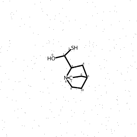 OC(S)C1CC2CCN1CC2